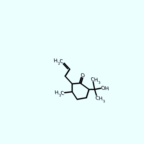 C=CCC1C(=O)C(C(C)(C)O)CCC1C